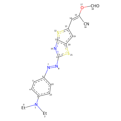 CCN(CC)c1ccc(/N=N/c2nc3sc(/C=C(\C#N)OC=O)cc3s2)cc1